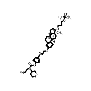 [2H]CCN(C(=O)Oc1ccc(OCCOc2ccc3c(c2)CC[C@@H]2[C@@H]3CC[C@]3(C)[C@@H](OCCCOC(C(F)(F)F)(C(F)(F)F)C(F)(F)F)CC[C@@H]23)cc1)C1CCSSC1